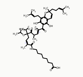 CC(C)=CCCC1(C)C=Cc2c(O)c(C(=O)/C(C)=C/C(C)C(=O)C(C/C=C(/C)C(=O)NCCCCCCCC(=O)O)(OC(C)C)C(C)C)c(O)c(CC=C(C)C)c2O1